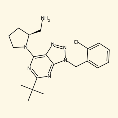 CC(C)(C)c1nc(N2CCC[C@H]2CN)c2nnn(Cc3ccccc3Cl)c2n1